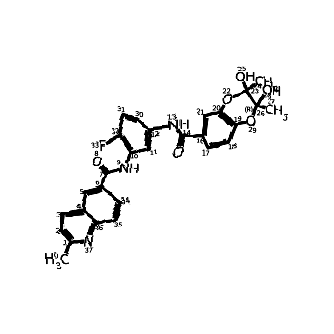 Cc1ccc2cc(C(=O)Nc3cc(NC(=O)c4ccc5c(c4)OC(C)(O)[C@](C)(O)O5)ccc3F)ccc2n1